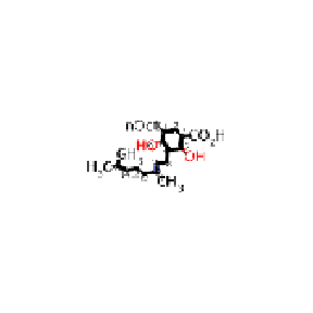 CCCCCCCCc1cc(C(=O)O)c(O)c(C/C=C(\C)CCC=C(C)C)c1O